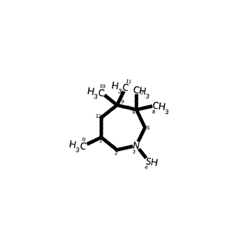 CC1CN(S)CC(C)(C)C(C)(C)C1